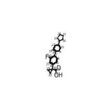 O=C(O)C1(c2ccc(-c3ccc(C4CCCC4)cc3)c(F)c2)CC1